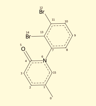 Cc1ccc(=O)n(-c2cccc(Br)c2Br)c1